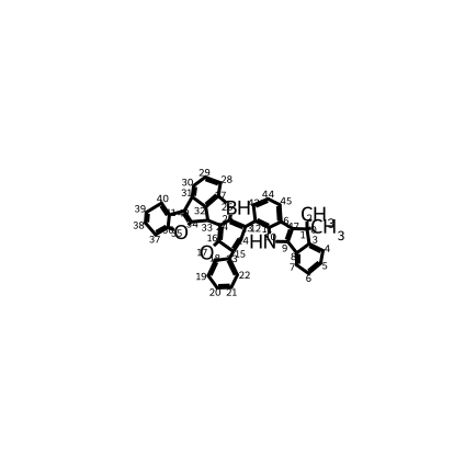 CC1(C)c2ccccc2-c2[nH]c3c(-c4cc5c(oc6ccccc65)c5c4Bc4cccc6c4C5c4oc5ccccc5c4-6)cccc3c21